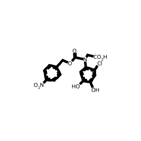 O=C(O)CN(C(=O)OCc1ccc([N+](=O)[O-])cc1)c1cc(O)c(O)cc1Cl